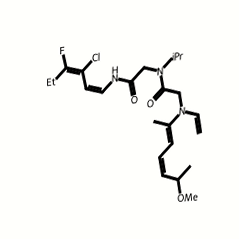 C=CN(CC(=O)N(CC(=O)N/C=C\C(Cl)=C(\F)CC)C(C)C)/C(C)=C/C=C\C(C)OC